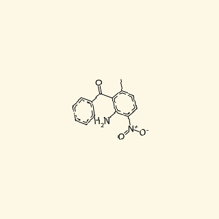 Cc1ccc([N+](=O)[O-])c(N)c1C(=O)c1ccccc1